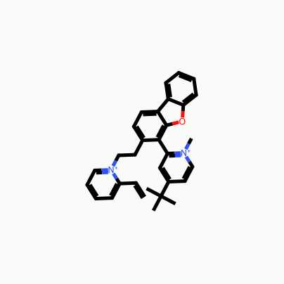 C=Cc1cccc[n+]1CCc1ccc2c(oc3ccccc32)c1-c1cc(C(C)(C)C)cc[n+]1C